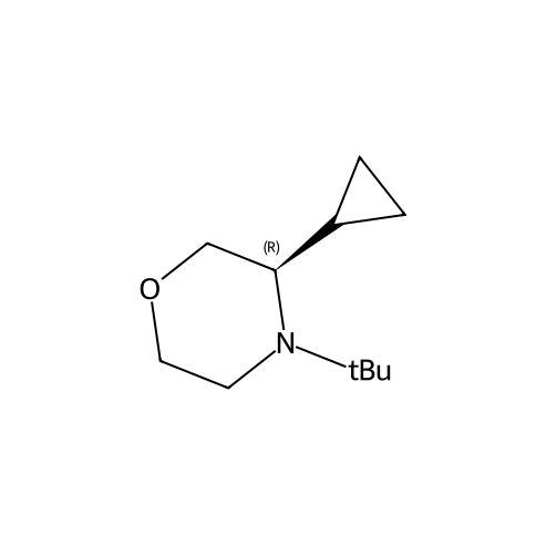 CC(C)(C)N1CCOC[C@H]1C1CC1